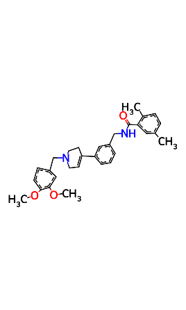 COc1ccc(CN2CC=C(c3cccc(CNC(=O)c4cc(C)ccc4C)c3)CC2)cc1OC